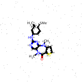 C=C/C=C(\C=C/C(=C)SC)Nc1ncc2c(n1)N(C)c1ccsc1C(=O)N2C